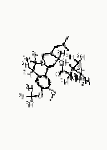 [2H]C([2H])([2H])Oc1cc2c(cc1OC)C1CC([2H])(OC(=O)[C@@]([2H])(N)C([2H])(C([2H])([2H])[2H])C([2H])([2H])[2H])C(CC(C)C)CN1C([2H])([2H])C2([2H])[2H]